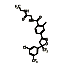 Cc1cc(C2=NO[C@@](c3cc(Cl)cc(C(F)(F)F)c3)(C(F)(F)F)C2)ccc1C(=O)NCC(=O)NCC(F)(F)F